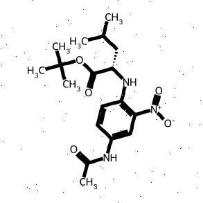 CC(=O)Nc1ccc(N[C@@H](CC(C)C)C(=O)OC(C)(C)C)c([N+](=O)[O-])c1